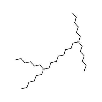 CCCCCCN(CCCCCC)CCCCCCCCN(CCCCCC)CCCCCC